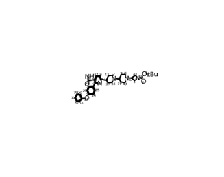 CC(C)(C)OC(=O)N1CC(N2CCC(N3CCC(c4ccc(C(N)=O)c(-c5ccc(Oc6ccccc6)cc5)n4)CC3)CC2)C1